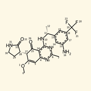 COC1=Cc2nc(C)nc(N[C@H](C)c3cc(N)cc(C(F)(F)F)c3)c2C(=O)C1[C@@H]1CCNC1=O